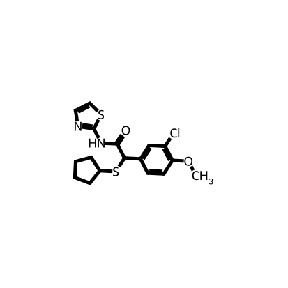 COc1ccc(C(SC2CCCC2)C(=O)Nc2nccs2)cc1Cl